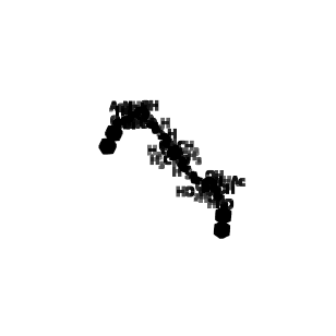 CC(=O)N[C@@H]1[C@H]([C@H](O)[C@@H](O)CNC(=O)c2ccc(-c3ccccc3)cc2)O[C@@](OCCCSCCC(=O)Nc2c(C)c(C)c(NC(=O)CCSCCCO[C@]3(C(=O)O)C[C@H](O)[C@@H](NC(C)=O)[C@H]([C@H](O)[C@H](O)CNC(=O)c4ccc(-c5ccccc5)cc4)O3)c(C)c2C)(C(=O)O)C[C@H]1O